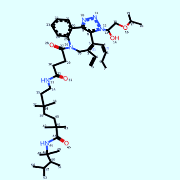 C=C/C1=C(\C=C/CC)c2c(nnn2C(O)COC(C)C)-c2ccccc2N(C(=O)CCC(=O)NCCC(C)(C)CCC(C)(C)C(=O)NC(C)(C)C(C)C(C)C)C1